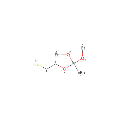 CCCC[Si](OCC)(OCC)OCCS